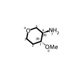 CO[C@@H]1CCOC[C@H]1N